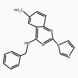 O=C(O)c1ccc2nc(-n3ccnc3)nc(NCc3ccccc3)c2c1